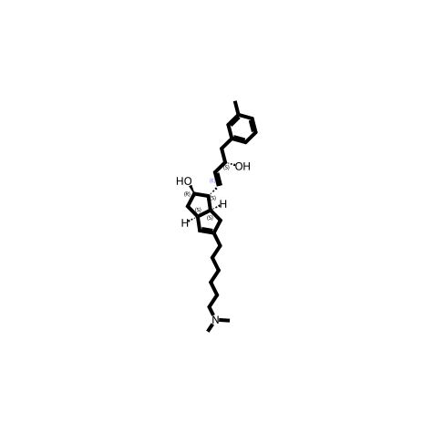 Cc1cccc(C[C@H](O)/C=C/[C@@H]2[C@H]3CC(CCCCCCN(C)C)=C[C@H]3C[C@H]2O)c1